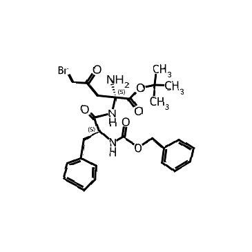 CC(C)(C)OC(=O)[C@](N)(CC(=O)CBr)NC(=O)[C@H](Cc1ccccc1)NC(=O)OCc1ccccc1